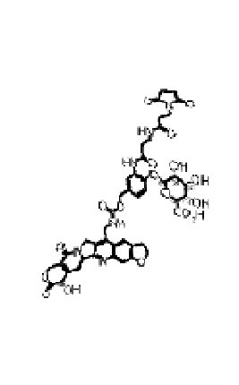 O=C(CCN1C(=O)C=CC1=O)NCCC(=O)Nc1cc(COC(=O)NCc2c3c(nc4cc5c(cc24)CCO5)-c2cc4c(c(=O)n2C3)COC(=O)[C@H]4O)ccc1O[C@@H]1O[C@H](C(=O)O)[C@@H](O)[C@H](O)[C@H]1O